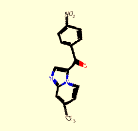 O=C(c1ccc([N+](=O)[O-])cc1)c1cnc2cc(C(F)(F)F)ccn12